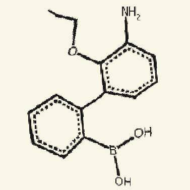 CCOc1c(N)cccc1-c1ccccc1B(O)O